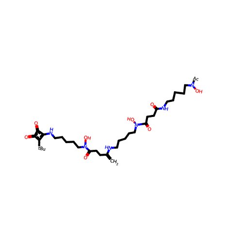 C=C(CCC(=O)N(O)CCCCCNc1c(C(C)(C)C)c(=O)c1=O)NCCCCCN(O)C(=O)CCC(=O)NCCCCCN(O)C(C)=O